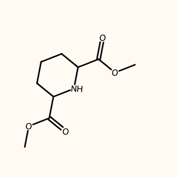 COC(=O)C1CCCC(C(=O)OC)N1